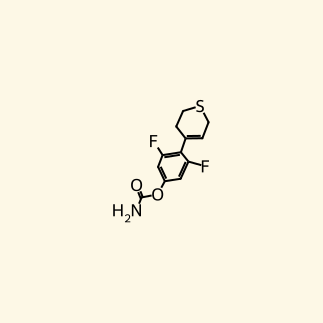 NC(=O)Oc1cc(F)c(C2=CCSCC2)c(F)c1